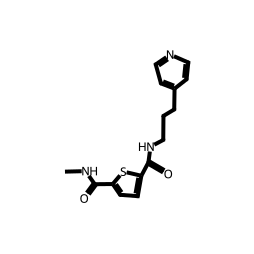 CNC(=O)c1ccc(C(=O)NCCCc2ccncc2)s1